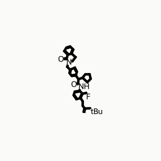 C=C(CCc1cccc(NC(=O)C(c2ccc(CN3CCc4ccccc4C3=O)cc2)C2CCCC2)c1CF)CC(C)(C)C